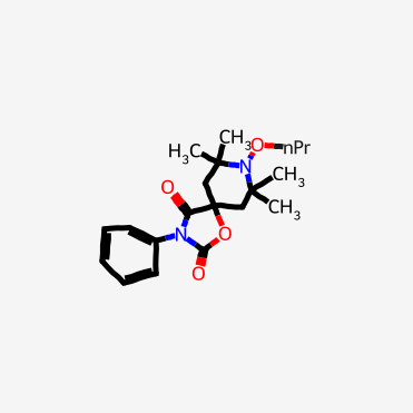 CCCON1C(C)(C)CC2(CC1(C)C)OC(=O)N(c1ccccc1)C2=O